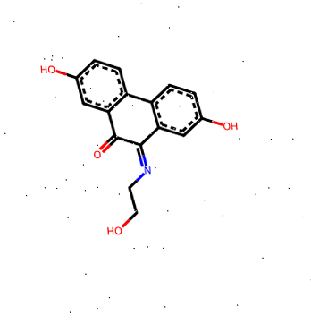 O=C1C(=NCCO)c2cc(O)ccc2-c2ccc(O)cc21